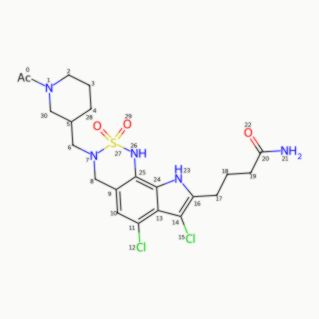 CC(=O)N1CCCC(CN2Cc3cc(Cl)c4c(Cl)c(CCCC(N)=O)[nH]c4c3NS2(=O)=O)C1